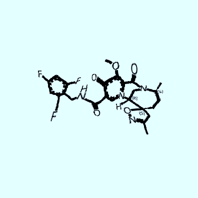 COc1c2n(cc(C(=O)NCc3c(F)cc(F)cc3F)c1=O)[C@@H]1CN(C2=O)[C@@H](C)CC[C@]12CC(C)=NO2